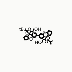 C=C(C)C(=O)OC1(CCCO)c2ccccc2Sc2cc(-c3ccc4c(c3)Oc3ccccc3C4(CCCO)OC(=O)C(C)(C)C)ccc21